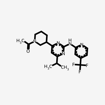 CC(=O)N1CCCC(c2cc(C(C)C)nc(Nc3cc(C(F)(F)F)ccn3)n2)C1